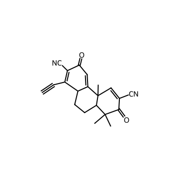 C#CC1=C(C#N)C(=O)C=C2C1CCC1C(C)(C)C(=O)C(C#N)=CC21C